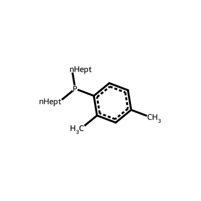 CCCCCCCP(CCCCCCC)c1ccc(C)cc1C